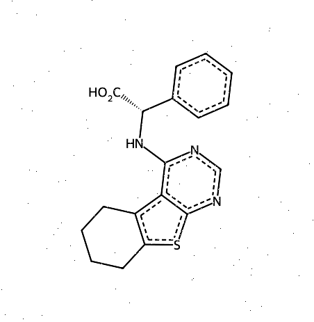 O=C(O)[C@@H](Nc1ncnc2sc3c(c12)CCCC3)c1ccccc1